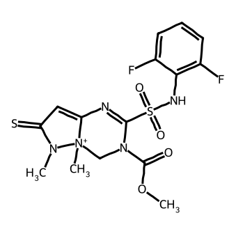 COC(=O)N1C[N+]2(C)C(=CC(=S)N2C)N=C1S(=O)(=O)Nc1c(F)cccc1F